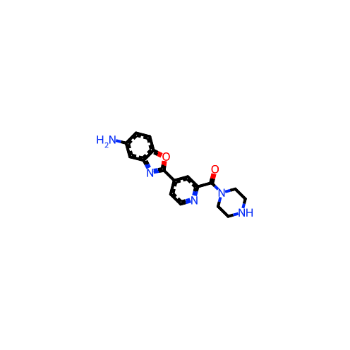 Nc1ccc2oc(-c3ccnc(C(=O)N4CCNCC4)c3)nc2c1